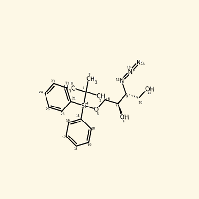 CC(C)(C)[Si](OC[C@H](O)[C@@H](CO)N=[N+]=[N-])(c1ccccc1)c1ccccc1